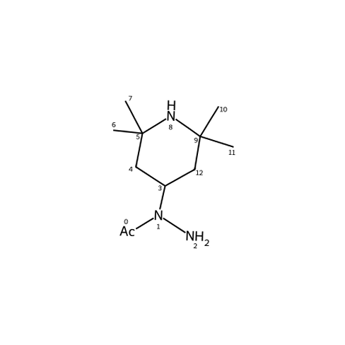 CC(=O)N(N)C1CC(C)(C)NC(C)(C)C1